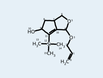 C=CCOC1OCC2CC(O)C([Si](C)(C)C)=C21